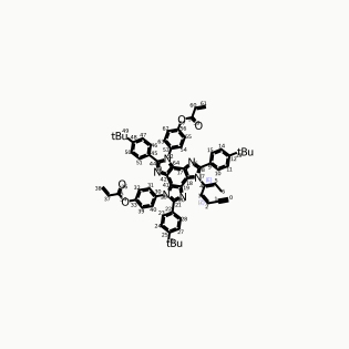 C#C/C=C\C(=C/C)n1c(-c2ccc(C(C)(C)C)cc2)nc2c1c1nc(-c3ccc(C(C)(C)C)cc3)n(-c3ccc(OC(=O)C=C)cc3)c1c1nc(-c3ccc(C(C)(C)C)cc3)n(-c3ccc(OC(=O)C=C)cc3)c21